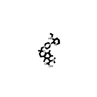 CCNc1cccnc1N1CCN(CC2(C)CCc3c(C)c(C(C(=O)O)N(C)C)c(C)c(C)c3O2)CC1